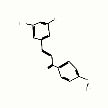 CCSc1ccc(C(=O)/C=C/c2cc(C)cc(C)c2)cc1